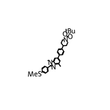 CSc1ccc(-c2nc3c(C)cc(-c4ccc(C5CCN(C(=O)OC(C)(C)C)CC5)cc4)cc3n2C)cc1